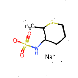 CC1SCCCC1NS(=O)(=O)[O-].[Na+]